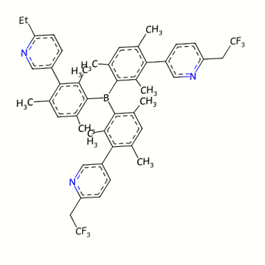 CCc1ccc(-c2c(C)cc(C)c(B(c3c(C)cc(C)c(-c4ccc(CC(F)(F)F)nc4)c3C)c3c(C)cc(C)c(-c4ccc(CC(F)(F)F)nc4)c3C)c2C)cn1